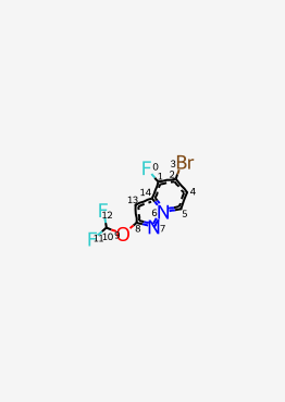 Fc1c(Br)ccn2nc(OC(F)F)cc12